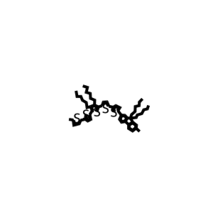 CCCCCCc1c(-c2ccc(-c3ccc(C)s3)s2)sc(-c2ccc(-c3ccc(-c4ccc5c(c4)C(CCCCCC)(CCCCCC)c4cc(C)ccc4-5)s3)s2)c1CCCCCC